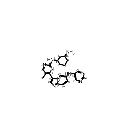 Cc1cnc(NC2CCCC(N)C2)nc1-c1cnc2ccc(Nc3cncnc3)cn12